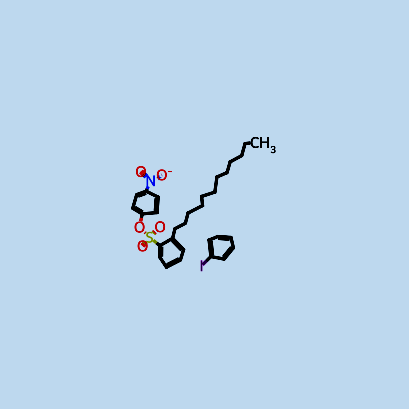 CCCCCCCCCCCCc1ccccc1S(=O)(=O)Oc1ccc([N+](=O)[O-])cc1.Ic1ccccc1